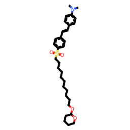 CN(C)c1ccc(C=Cc2ccc(S(=O)(=O)CCCCCCCCCCCOC3CCCCO3)cc2)cc1